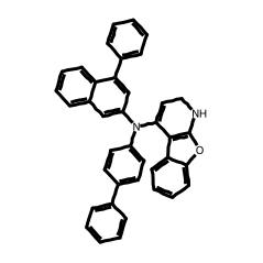 C1=C(N(c2ccc(-c3ccccc3)cc2)c2cc(-c3ccccc3)c3ccccc3c2)c2c(oc3ccccc23)NC1